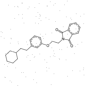 O=C1c2ccccc2C(=O)N1CCOc1cccc(CCC2CCCCC2)c1